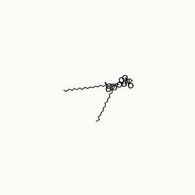 C=C(CCCCCCCCCCCCCCCC)OC[C@@H](COC(=O)ON1C(=O)CCC1=O)OC(=O)CCCCCCCCCCCCCC